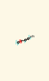 CCC/C(F)=C(\F)c1ccc(-c2ccc(CCC3COC(c4cc(F)c(F)c(F)c4)OC3)c(F)c2)cc1